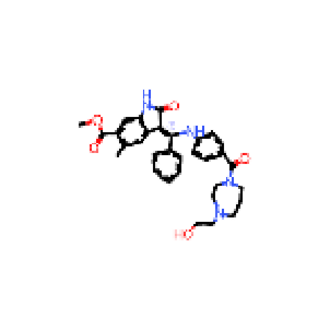 COC(=O)c1cc2c(cc1C)/C(=C(/Nc1ccc(C(=O)N3CCCN(CCO)CC3)cc1)c1ccccc1)C(=O)N2